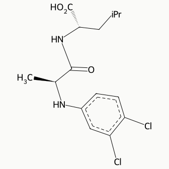 CC(C)C[C@H](NC(=O)[C@H](C)Nc1ccc(Cl)c(Cl)c1)C(=O)O